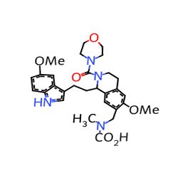 COc1ccc2[nH]cc(CCC3c4cc(CN(C)C(=O)O)c(OC)cc4CCN3C(=O)N3CCOCC3)c2c1